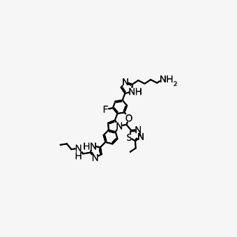 CCCNCc1ncc(-c2ccc3c(c2)cc2n3C(c3nnc(CC)s3)Oc3cc(-c4cnc(CCCCN)[nH]4)cc(F)c3-2)[nH]1